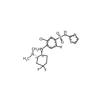 CN(C)[C@H]1CC(F)(F)CC[C@@H]1Nc1cc(F)c(S(=O)(=O)Nc2nccs2)cc1Cl